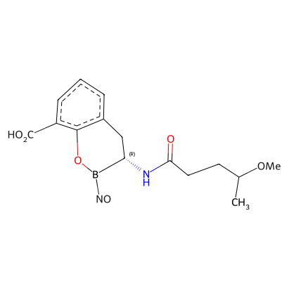 COC(C)CCC(=O)N[C@H]1Cc2cccc(C(=O)O)c2OB1N=O